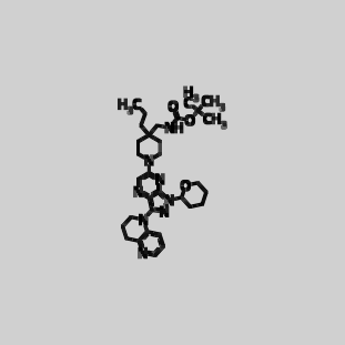 CCCC1(CNC(=O)OC(C)(C)C)CCN(c2cnc3c(N4CCCc5ncccc54)nn(C4CCCCO4)c3n2)CC1